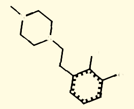 CC(C)c1cccc(CCN2CCN(C)CC2)c1O